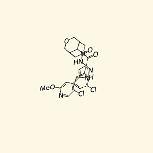 COc1cc(-c2cc(C(=O)N3CC4COCC(C3)C4C(=O)NCc3cccc(Cl)c3)n[nH]2)c(Cl)cn1